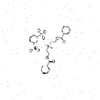 C[N+](C)(CCOC(=O)c1ccccc1)CCOC(=O)c1ccccc1.O=[N+]([O-])c1cccc(S(=O)(=O)[O-])c1